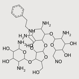 NC1CC(N)C(OC2OC(CN=O)C(O)C(O)C2N)C(OC2OC(CO)C(OC3OC(N)C(O)C(O)C3N)C2OCCNCCc2ccccc2)C1O